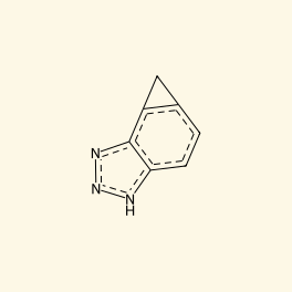 c1cc2[nH]nnc2c2c1C2